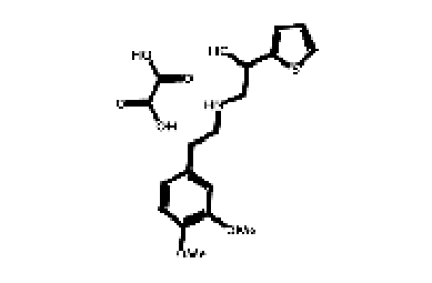 COc1ccc(CCNCC(O)c2cccs2)cc1OC.O=C(O)C(=O)O